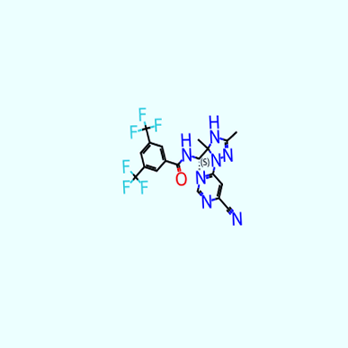 CC1=NN(c2cc(C#N)ncn2)C(C)([C@H](C)NC(=O)c2cc(C(F)(F)F)cc(C(F)(F)F)c2)N1